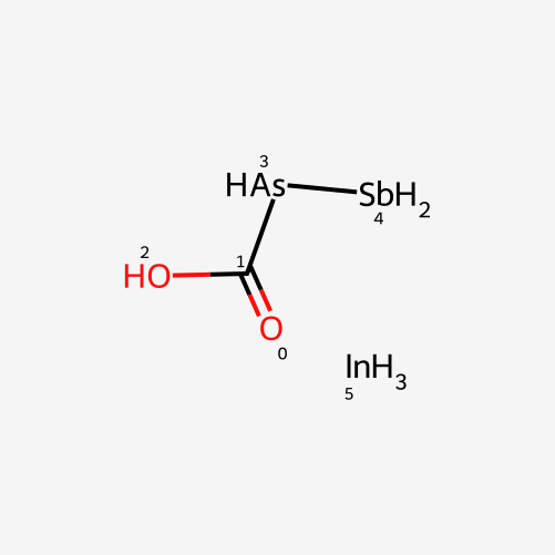 O=C(O)[AsH][SbH2].[InH3]